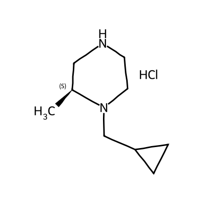 C[C@H]1CNCCN1CC1CC1.Cl